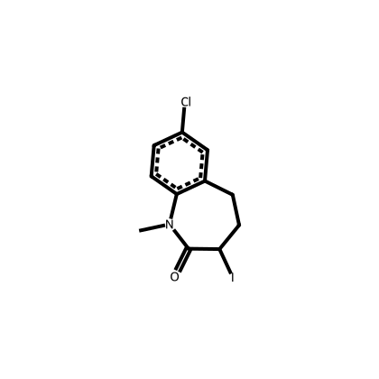 CN1C(=O)C(I)CCc2cc(Cl)ccc21